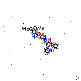 COc1cc2nccc(Oc3ccc(NC(=O)c4cc(C5=CC=CCN5)cn(Cc5ccccc5)c4=O)nc3)c2cc1OC